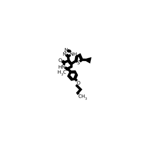 CCCCOc1ccc(C2(C)CC(c3ccc(C4CC4)s3)=C(c3nnc[nH]3)C(=O)N2)cc1